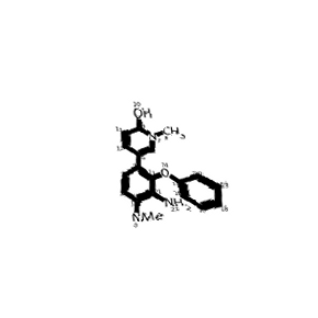 CNc1ccc(C2=CN(C)C(O)C=C2)c(Oc2ccccc2)c1N